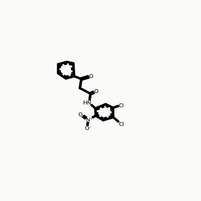 O=C(CC(=O)c1ccccc1)Nc1cc(Cl)c(Cl)cc1[N+](=O)[O-]